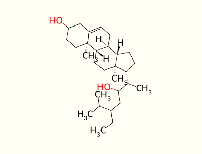 CCC(CC(O)C(C)[C@H]1CC[C@H]2[C@@H]3CC=C4CC(O)CC[C@]4(C)[C@H]3CC[C@]12C)C(C)C